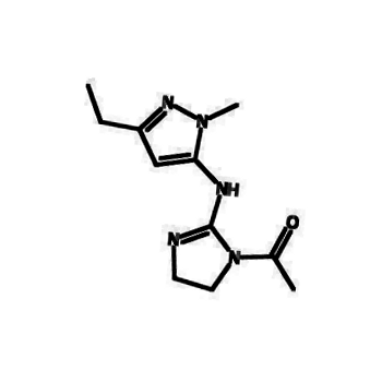 CCc1cc(NC2=NCCN2C(C)=O)n(C)n1